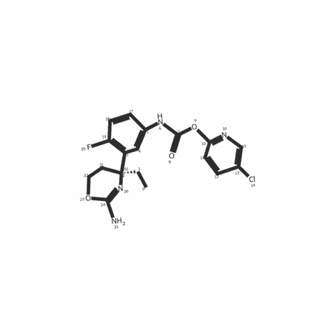 CC[C@@]1(c2cc(NC(=O)Oc3ccc(Cl)cn3)ccc2F)CCOC(N)=N1